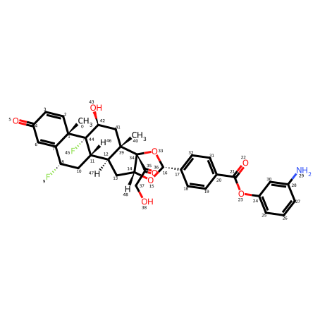 C[C@]12C=CC(=O)C=C1[C@@H](F)C[C@H]1[C@@H]3C[C@H]4O[C@@H](c5ccc(C(=O)Oc6cccc(N)c6)cc5)O[C@@]4(C(=O)CO)[C@@]3(C)C[C@H](O)[C@@]12F